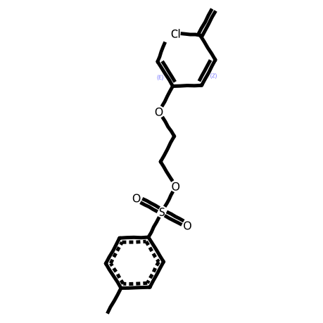 C=C(Cl)/C=C\C(=C/C)OCCOS(=O)(=O)c1ccc(C)cc1